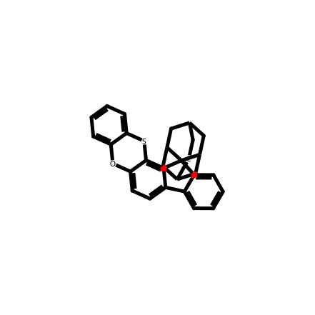 c1ccc2c(c1)Oc1ccc3c(c1S2)C1(c2ccccc2-3)C2CC3CCC(C2)CC1C3